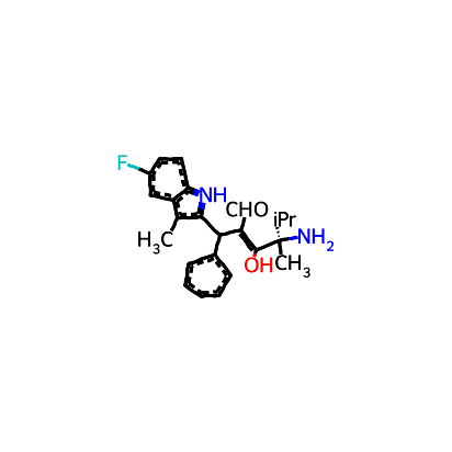 Cc1c(C(/C(C=O)=C(\O)[C@](C)(N)C(C)C)c2ccccc2)[nH]c2ccc(F)cc12